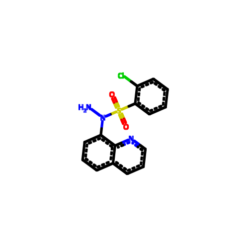 NN(c1cccc2cccnc12)S(=O)(=O)c1ccccc1Cl